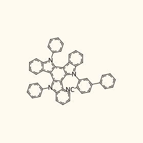 N#Cc1ccc(-c2ccccc2)cc1-n1c2ccccc2c2c3c(c4ccccc4n3-c3ccccc3)c3c(c4ccccc4n3-c3ccccc3)c21